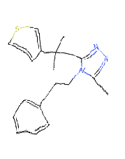 Cc1nnc(C(C)(C)c2ccsc2)n1CCc1ccccc1